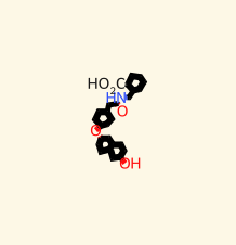 O=C(Cc1ccc(Oc2ccc3cc(O)ccc3c2)cc1)NCc1ccccc1C(=O)O